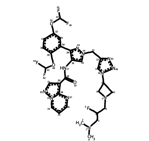 CN(C)CC(F)CN1CC(n2cc(Cn3cc(NC(=O)c4cnn5cccnc45)c(-c4cc(OC(F)F)ccc4OC(F)F)n3)nn2)C1